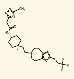 Cc1nnc(CC(=O)N[C@H]2CC[C@](F)(CCN3CCc4nc(OCC(F)(F)F)sc4CC3)CC2)s1